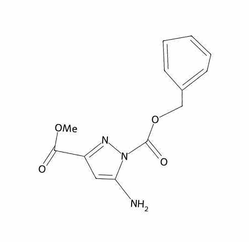 COC(=O)c1cc(N)n(C(=O)OCc2ccccc2)n1